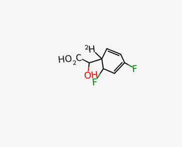 [2H]C1(C(O)C(=O)O)C=CC(F)=CC1F